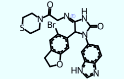 O=C(C/N=C1/NC(=O)N(c2ccc3nc[nH]c3c2)C1c1cc2c(cc1Br)CCO2)N1CCSCC1